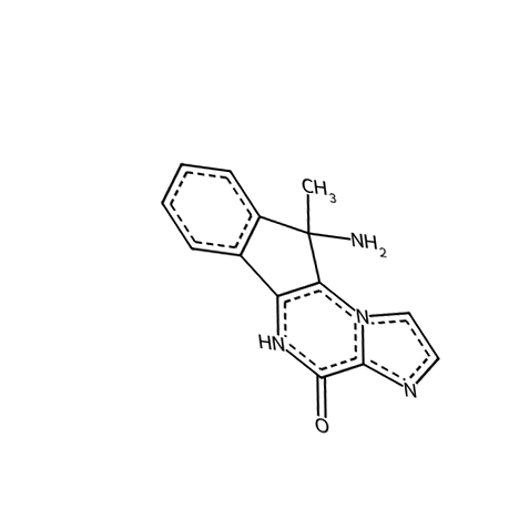 CC1(N)c2ccccc2-c2[nH]c(=O)c3nccn3c21